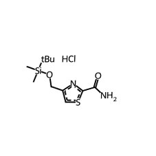 CC(C)(C)[Si](C)(C)OCc1csc(C(N)=O)n1.Cl